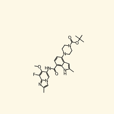 COc1c(NC(=O)c2ccc(N3CCN(C(=O)OC(C)(C)C)CC3)c3cc(C)[nH]c23)cn2cc(C)nc2c1F